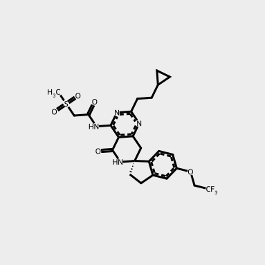 CS(=O)(=O)CC(=O)Nc1nc(CCC2CC2)nc2c1C(=O)N[C@@]1(CCc3cc(OCC(F)(F)F)ccc31)C2